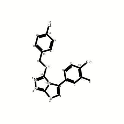 Cc1cc(-c2csc3nnc(SCc4ccc(Cl)cc4)n23)ccc1F